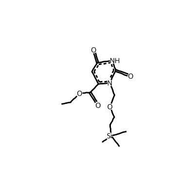 CCOC(=O)c1cc(=O)[nH]c(=O)n1COCC[Si](C)(C)C